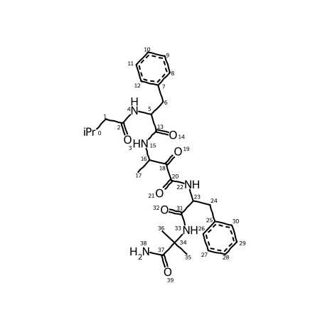 CC(C)CC(=O)NC(Cc1ccccc1)C(=O)NC(C)C(=O)C(=O)NC(Cc1ccccc1)C(=O)NC(C)(C)C(N)=O